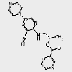 CC(CNc1ncc(-c2ccncc2)cc1C#N)OC(=O)c1cccnc1